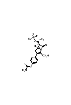 CC[Si](CC)(CC)O[C@H](C)[C@H]1C(=O)N2C(C(=O)O)=C(c3ccc(OC(N)=O)cc3)C[C@H]12